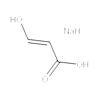 O=C(O)C=CO.[NaH]